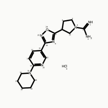 Cl.N=C(N)N1CCC(c2nc(-c3ccc(N4CCCCC4)nc3)no2)C1